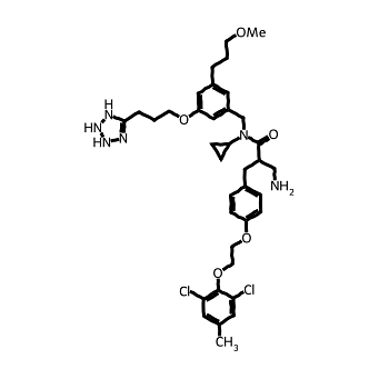 COCCCc1cc(CN(C(=O)C(CN)Cc2ccc(OCCOc3c(Cl)cc(C)cc3Cl)cc2)C2CC2)cc(OCCCC2=NNNN2)c1